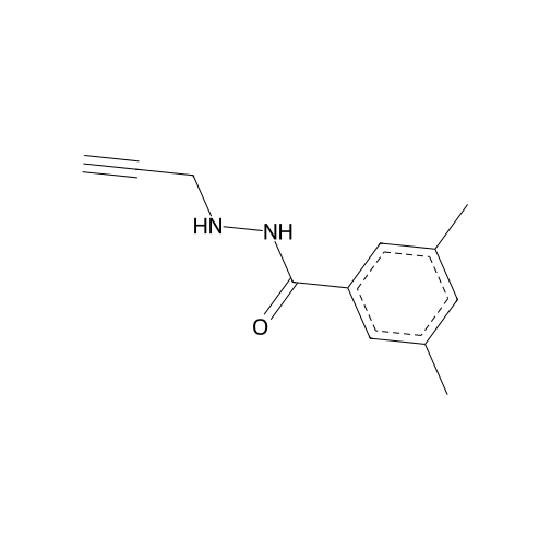 C#CCNNC(=O)c1cc(C)cc(C)c1